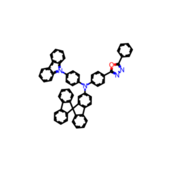 c1ccc(-c2nnc(-c3ccc(N(c4ccc(-n5c6ccccc6c6ccccc65)cc4)c4ccc5c(c4)C4(c6ccccc6-c6ccccc64)c4ccccc4-5)cc3)o2)cc1